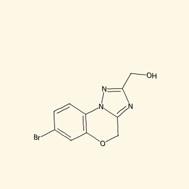 OCc1nc2n(n1)-c1ccc(Br)cc1OC2